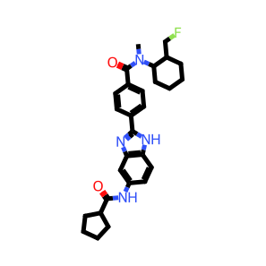 CN(C(=O)c1ccc(-c2nc3cc(NC(=O)C4CCCC4)ccc3[nH]2)cc1)C1CCCCC1CF